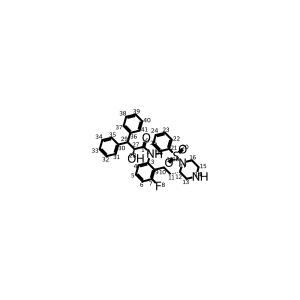 O=C(Nc1cccc(F)c1CC[C@H]1CNCCN1S(=O)(=O)c1ccccc1)[C@@H](O)C(c1ccccc1)c1ccccc1